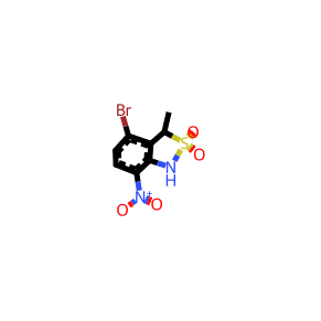 CC1c2c(Br)ccc([N+](=O)[O-])c2NS1(=O)=O